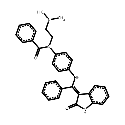 CN(C)CCN(C(=O)c1ccccc1)c1ccc(NC(=C2C(=O)Nc3ccccc32)c2ccccc2)cc1